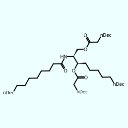 CCCCCCCCCCCCCCCCCC(=O)N[C@@H](COC(=O)CCCCCCCCCCC)[C@@H](CCCCCCCCCCCCCCC)OC(=O)CCCCCCCCCCC